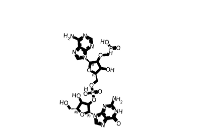 Nc1nc2c(ncn2[C@@H]2O[C@H](CO)C(O)C2OP(=O)(O)OC[C@H]2O[C@@H](n3cnc4c(N)ncnc43)C(OC[PH](=O)O)C2O)c(=O)[nH]1